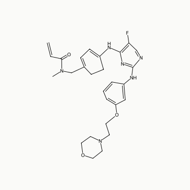 C=CC(=O)N(C)CC1=CC=C(Nc2nc(Nc3cccc(OCCN4CCOCC4)c3)ncc2F)CC1